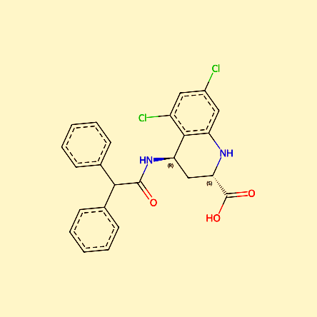 O=C(N[C@@H]1C[C@@H](C(=O)O)Nc2cc(Cl)cc(Cl)c21)C(c1ccccc1)c1ccccc1